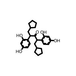 O=C(C(CC1CCCC1)c1ccc(O)cc1O)C(CC1CCCC1)c1ccc(O)cc1O